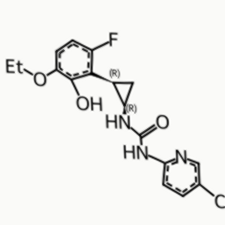 CCOc1ccc(F)c([C@H]2C[C@H]2NC(=O)Nc2ccc(Cl)cn2)c1O